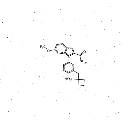 NC(=O)c1cc2ccc(OC(F)(F)F)cc2n1-c1cccc(CC2(C(=O)O)CCC2)c1